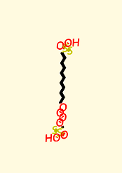 O=S(O)(=S)CCCCCCCCCCCOOOOCS(=O)(O)=S